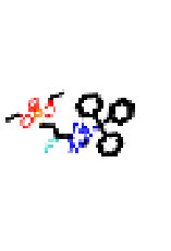 CCOP(=O)(CCC(F)c1ncn(C(c2ccccc2)(c2ccccc2)c2ccccc2)n1)OCC